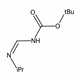 CC(C)/N=C\NC(=O)OC(C)(C)C